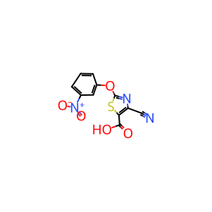 N#Cc1nc(Oc2cccc([N+](=O)[O-])c2)sc1C(=O)O